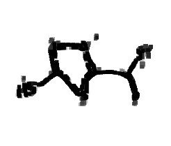 O=C(S)c1nnc(S)s1